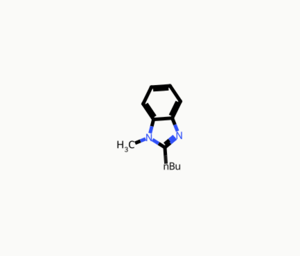 CCCCc1nc2ccccc2n1C